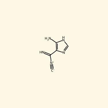 [C-]#[N+]C(=N)c1nc[nH]c1N